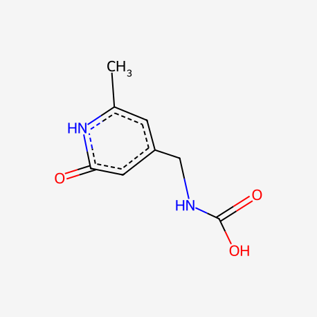 Cc1cc(CNC(=O)O)cc(=O)[nH]1